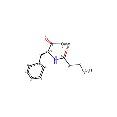 COC(=O)[C@H](Cc1ccccc1)NC(=O)CCC(=O)O